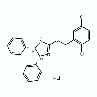 Cl.Clc1ccc(Cl)c(CSC2=N[C@H](c3ccccc3)[C@H](c3ccccc3)N2)c1